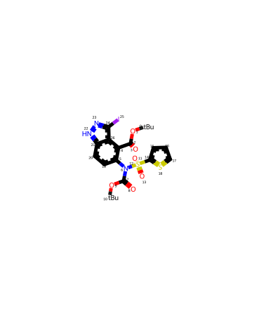 CC(C)(C)OC(=O)c1c(N(C(=O)OC(C)(C)C)S(=O)(=O)c2cccs2)ccc2[nH]nc(I)c12